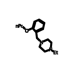 [CH2]CN1CCN(Cc2ccccc2OCCC)CC1